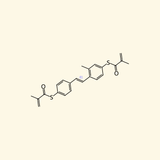 C=C(C)C(=O)Sc1ccc(/C=C/c2ccc(SC(=O)C(=C)C)cc2C)cc1